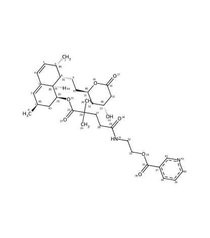 C[C@H]1C=C2C=C[C@H](C)[C@H](CC[C@@H]3C[C@@H](O)CC(=O)O3)[C@H]2[C@@H](OC(=O)C(C)(C)CCC(=O)NCCOC(=O)c2cccnc2)C1